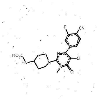 Cn1c(N2CCC(NC(=O)O)CC2)nc(-c2ccc(C#N)c(F)c2)c(Cl)c1=O